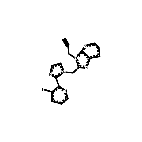 C#CCn1c(Cn2ccnc2-c2ncccc2F)nc2cccnc21